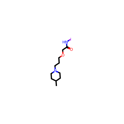 CC1CCN(CCCOCC(=O)NI)CC1